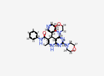 CC1=C(C(=O)Nc2ccccc2)C(c2cccnc2)c2c(nc(N3CCOCC3)nc2N2CCOCC2)N1